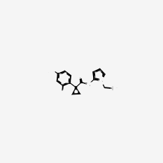 CC(C)Cn1cccc1NC(=O)C1(c2ccc(C(F)(F)F)cc2F)CC1